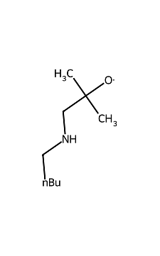 CCCCCNCC(C)(C)[O]